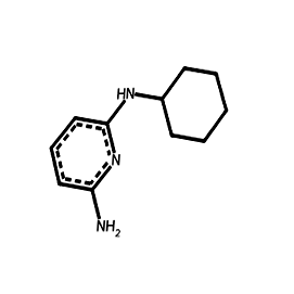 Nc1cccc(NC2CCCCC2)n1